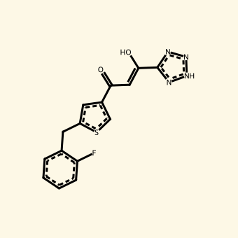 O=C(C=C(O)c1nn[nH]n1)c1csc(Cc2ccccc2F)c1